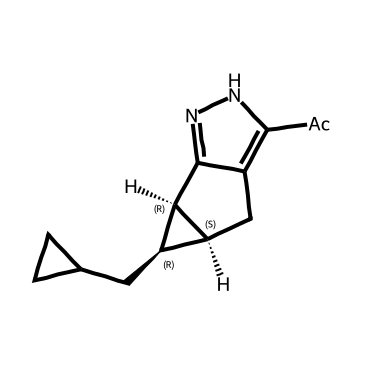 CC(=O)c1[nH]nc2c1C[C@H]1[C@@H](CC3CC3)[C@@H]21